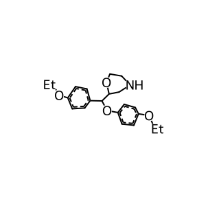 CCOc1ccc(OC(c2ccc(OCC)cc2)C2CNCCO2)cc1